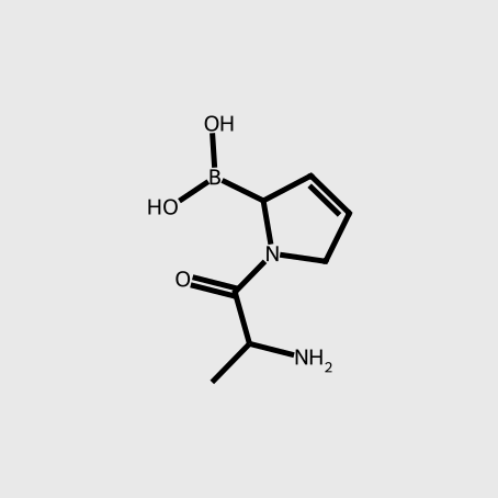 CC(N)C(=O)N1CC=CC1B(O)O